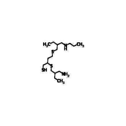 CCCNCC(CC)CSCCC(CS)SCC(CC)CN